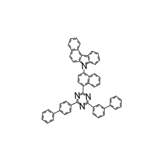 c1ccc(-c2ccc(-c3nc(-c4cccc(-c5ccccc5)c4)nc(-c4ccc(-n5c6ccccc6c6c7ccccc7ccc65)c5ccccc45)n3)cc2)cc1